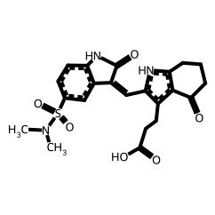 CN(C)S(=O)(=O)c1ccc2c(c1)C(=Cc1[nH]c3c(c1CCC(=O)O)C(=O)CCC3)C(=O)N2